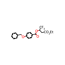 CCOC(=O)CC(OC(=O)c1ccc(OCc2ccccc2)cc1)C(F)(F)F